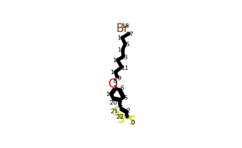 S=c1cc(-c2ccc(OCCCCCCCCCBr)cc2)ss1